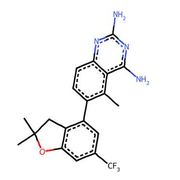 Cc1c(-c2cc(C(F)(F)F)cc3c2CC(C)(C)O3)ccc2nc(N)nc(N)c12